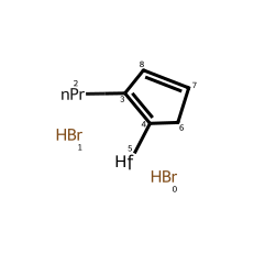 Br.Br.CCCC1=[C]([Hf])CC=C1